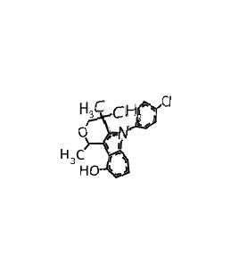 CC1OCC(C)(C)c2c1c1c(O)cccc1n2-c1ccc(Cl)cc1